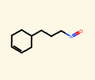 O=NCCCC1CC=CCC1